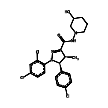 C[C@@H]1C(C(=O)NN2CCCC(O)C2)=NN(c2ccc(Cl)cc2Cl)[C@@H]1c1ccc(Cl)cc1